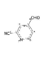 N#Cc1cc(C=O)ccn1